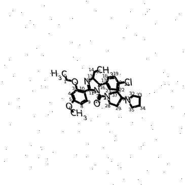 CCOc1cc(OC)ccc1C1=NC(CC)C(c2ccc(Cl)cc2)N1C(=O)N1CCC(N2CCCC2)CC1